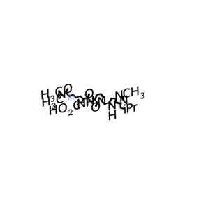 Cc1nc(CC(C)C)c2[nH]c(Cn3cccc(NC(=O)C(CC/C=C/C(=O)N(C)C)NC(=O)O)c3=O)cc2n1